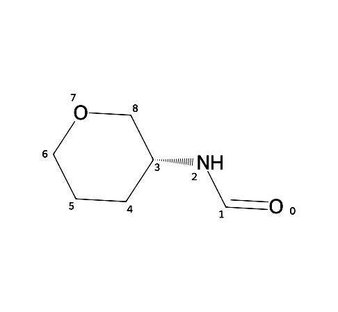 O=CN[C@@H]1CCCOC1